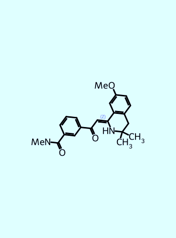 CNC(=O)c1cccc(C(=O)/C=C2\NC(C)(C)Cc3ccc(OC)cc32)c1